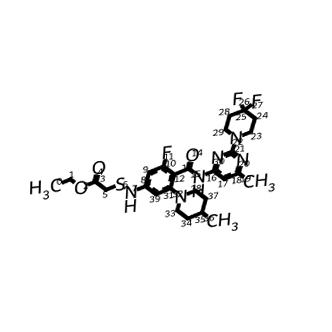 CCOC(=O)CSNc1cc(F)c(C(=O)Nc2cc(C)nc(N3CCC(F)(F)CC3)n2)c(N2CCC(C)CC2)c1